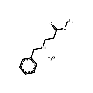 COC(=O)CCNCc1ccccc1.O